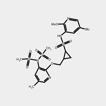 COc1ncc(C(C)(C)C)cc1NS(=O)(=O)C1CC1COc1ncc(C)cc1N(S(C)(=O)=O)S(C)(=O)=O